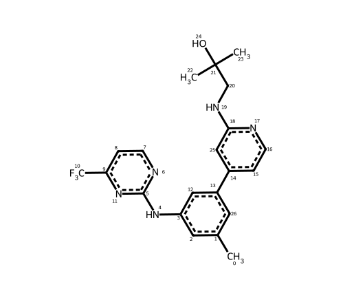 Cc1cc(Nc2nccc(C(F)(F)F)n2)cc(-c2ccnc(NCC(C)(C)O)c2)c1